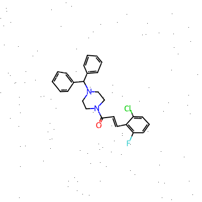 O=C(/C=C/c1c(F)cccc1Cl)N1CCN(C(c2ccccc2)c2ccccc2)CC1